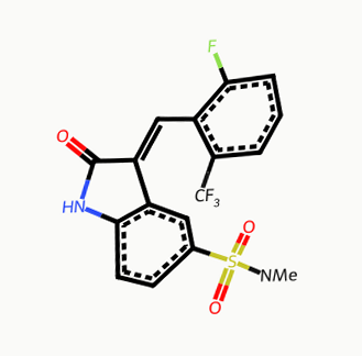 CNS(=O)(=O)c1ccc2c(c1)C(=Cc1c(F)cccc1C(F)(F)F)C(=O)N2